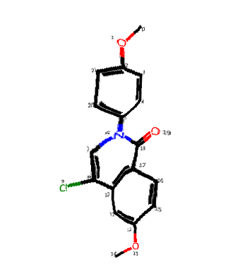 COc1ccc(-n2cc(Cl)c3cc(OC)c[c]c3c2=O)cc1